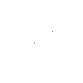 NC(=O)C(C1CCCCC1)(C1CCCCC1)C1(c2ccc(CO)cc2)Nc2ccccc2N1